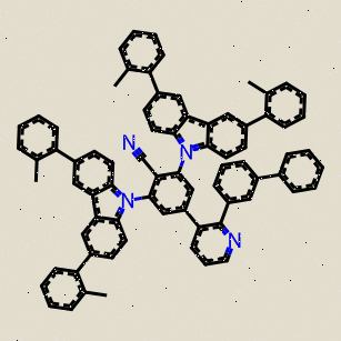 Cc1ccccc1-c1ccc2c(c1)c1cc(-c3ccccc3C)ccc1n2-c1cc(-c2cccnc2-c2cccc(-c3ccccc3)c2)cc(-n2c3ccc(-c4ccccc4C)cc3c3cc(-c4ccccc4C)ccc32)c1C#N